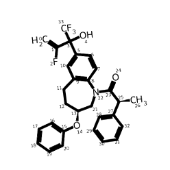 C=C(F)C(O)(c1ccc2c(c1)CC[C@H](Oc1ccccc1)CN2C(=O)[C@@H](C)c1ccccc1)C(F)(F)F